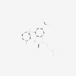 CCN(CC)CCN1C(=O)C(O)(c2ccc(Br)cc2Cl)c2c1cc(C(N)=O)cc2C(F)(F)F